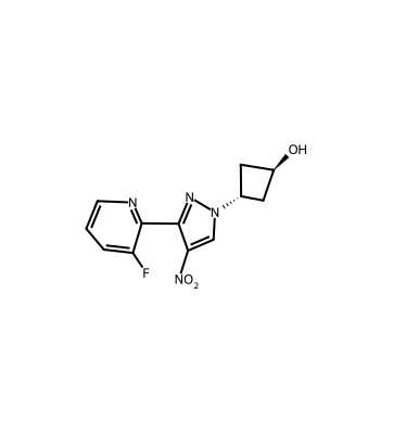 O=[N+]([O-])c1cn([C@H]2C[C@H](O)C2)nc1-c1ncccc1F